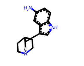 Nc1ccc2[nH]cc(C3CN4CCC3CC4)c2c1